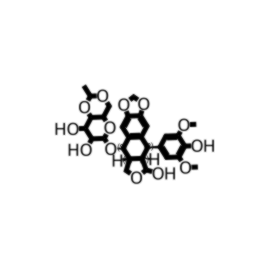 COc1cc([C@@H]2c3cc4c(cc3[C@@H](OC3OC5COC(C)OC5C(O)C3O)[C@H]3COC(O)[C@H]23)OCO4)cc(OC)c1O